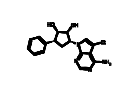 CCc1cn([C@@H]2C[C@H](c3ccccc3)[C@@H](O)[C@H]2O)c2ncnc(N)c12